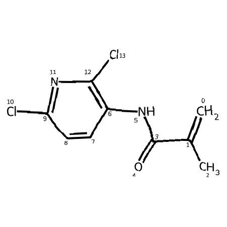 C=C(C)C(=O)Nc1ccc(Cl)nc1Cl